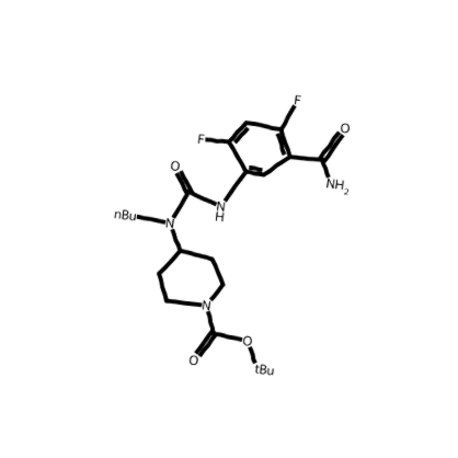 CCCCN(C(=O)Nc1cc(C(N)=O)c(F)cc1F)C1CCN(C(=O)OC(C)(C)C)CC1